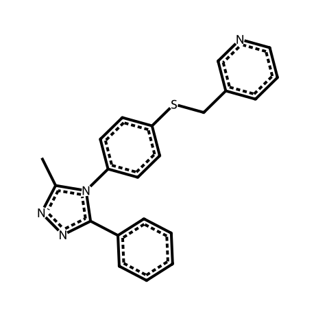 Cc1nnc(-c2ccccc2)n1-c1ccc(SCc2cccnc2)cc1